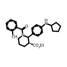 CCOC(=O)[C@H]1CCCN(C(=O)c2ccccc2C)C1c1ccc(NC2CCCC2)cc1